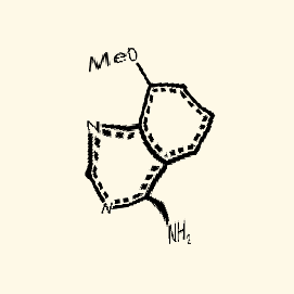 COc1cccc2c(N)ncnc12